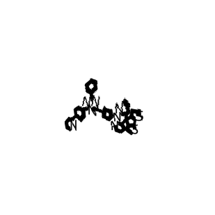 c1ccc(-c2nc(-c3ccc(-c4ccccn4)cc3)nc(-c3ccc(N4c5ncccc5C5(c6cccnc64)c4ccsc4-c4sccc45)cc3)n2)cc1